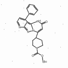 CC(C)(C)OC(=O)N1CCC(c2cc(=O)[nH]c3c4c(-c5ccccc5)ccnc4nn23)CC1